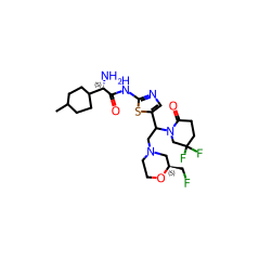 CC1CCC([C@H](N)C(=O)Nc2ncc(C(CN3CCO[C@H](CF)C3)N3CC(F)(F)CCC3=O)s2)CC1